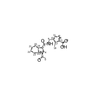 CC(=O)n1cc(C(=O)NCc2csc(C(=O)O)c2C)c2ccccc21